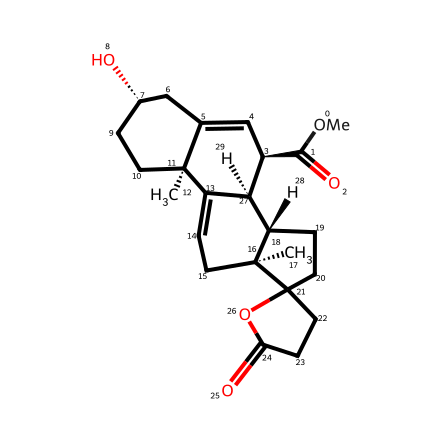 COC(=O)[C@@H]1C=C2C[C@@H](O)CC[C@]2(C)C2=CC[C@@]3(C)[C@@H](CCC34CCC(=O)O4)[C@@H]21